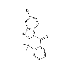 CC1(C)c2ccccc2C(=O)c2c1[nH]c1cc(Br)ccc21